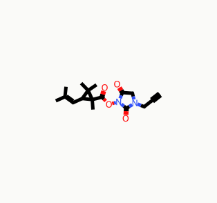 C#CCN1CC(=O)N(OC(=O)C2(C)C(C=C(C)C)C2(C)C)C1=O